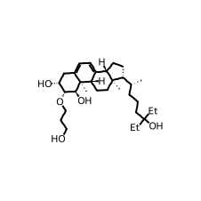 CCC(O)(CC)CCC[C@@H](C)[C@H]1CC[C@H]2C3=CC=C4C[C@@H](O)[C@@H](OCCCO)[C@H](O)[C@]4(C)[C@H]3CC[C@]12C